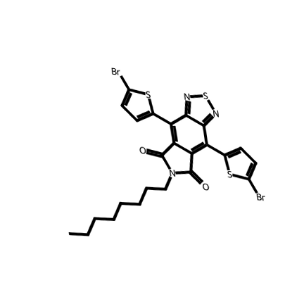 CCCCCCCCN1C(=O)c2c(c(-c3ccc(Br)s3)c3nsnc3c2-c2ccc(Br)s2)C1=O